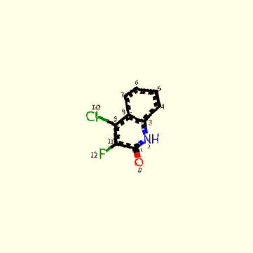 O=c1[nH]c2ccccc2c(Cl)c1F